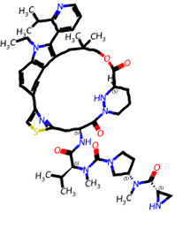 CCn1c(-c2cccnc2C(C)C)c2c3cc(ccc31)-c1csc(n1)C[C@H](NC(=O)[C@H](C(C)C)N(C)C(=O)N1CC[C@H](N(C)C(=O)[C@@H]3CN3)C1)C(=O)N1CCC[C@H](N1)C(=O)OCC(C)(C)C2